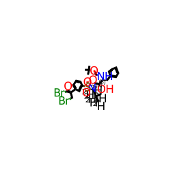 [2H]C([2H])([2H])C([2H])(C)C([2H])([2H])N(C[C@@H](O)[C@H](Cc1ccccc1)NC(=O)OC(C)(C)C)S(=O)(=O)c1ccc2oc(Br)c(CBr)c2c1